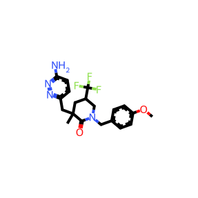 COc1ccc(CN2CC(C(F)(F)F)CC(C)(Cc3ccc(N)nn3)C2=O)cc1